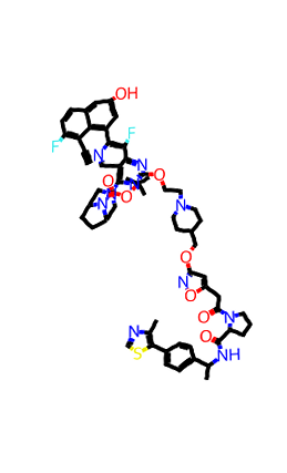 C#Cc1c(F)ccc2cc(O)cc(-c3ncc4c(N5CC6CCC(C5)N6C(=O)OC(C)(C)C)nc(OCCN5CCC(COc6cc(CC(=O)N7CCCC7C(=O)NC(C)c7ccc(-c8scnc8C)cc7)on6)CC5)nc4c3F)c12